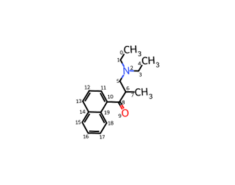 CCN(CC)CC(C)C(=O)c1cccc2ccccc12